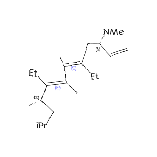 C=C[C@H](C/C(CC)=C(C)/C(C)=C(\CC)[C@@H](C)CC(C)C)NC